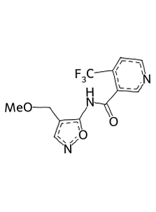 COCc1cnoc1NC(=O)c1cnccc1C(F)(F)F